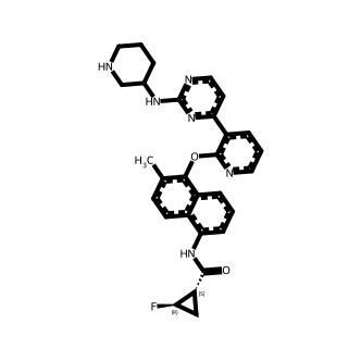 Cc1ccc2c(NC(=O)[C@@H]3C[C@H]3F)cccc2c1Oc1ncccc1-c1ccnc(NC2CCCNC2)n1